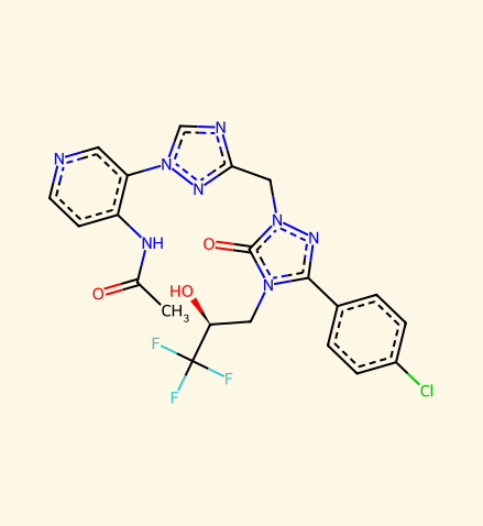 CC(=O)Nc1ccncc1-n1cnc(Cn2nc(-c3ccc(Cl)cc3)n(C[C@H](O)C(F)(F)F)c2=O)n1